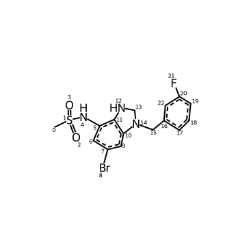 CS(=O)(=O)Nc1cc(Br)cc2c1NCN2Cc1cccc(F)c1